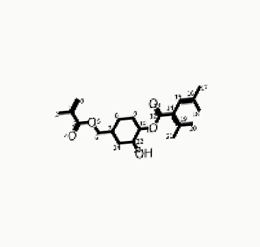 C=C(C)C(=O)OCC1CCC(OC(=O)C(C=C(C)C)=C(C)C)C(O)C1